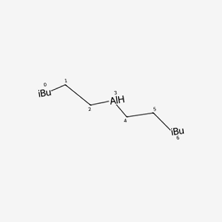 CCC(C)C[CH2][AlH][CH2]CC(C)CC